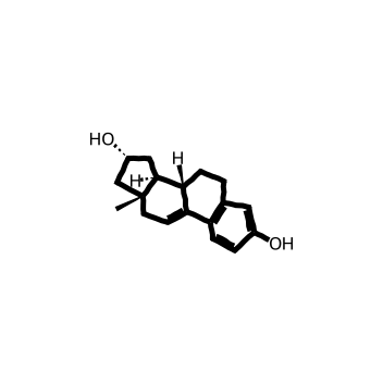 C[C@]12CC=C3c4ccc(O)cc4CC[C@H]3[C@@H]1C[C@@H](O)C2